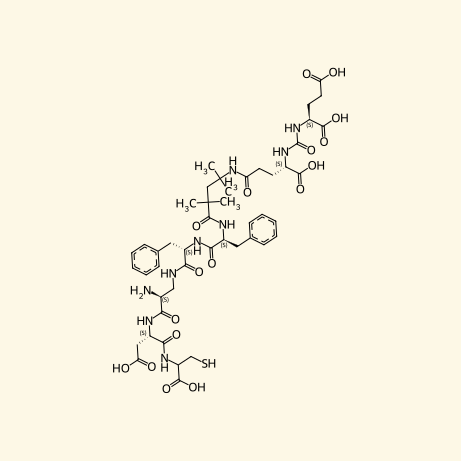 CC(C)(CC(C)(C)C(=O)N[C@@H](Cc1ccccc1)C(=O)N[C@@H](Cc1ccccc1)C(=O)NC[C@H](N)C(=O)N[C@@H](CC(=O)O)C(=O)NC(CS)C(=O)O)NC(=O)CC[C@H](NC(=O)N[C@@H](CCC(=O)O)C(=O)O)C(=O)O